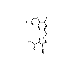 N#Cc1nn(Cc2cc(F)c3ncc(Cl)cc3c2)cc1C(=O)O